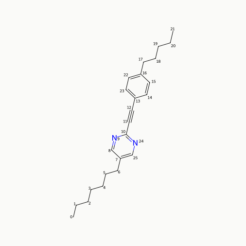 CCCCCCCc1cnc(C#Cc2ccc(CCCCC)cc2)nc1